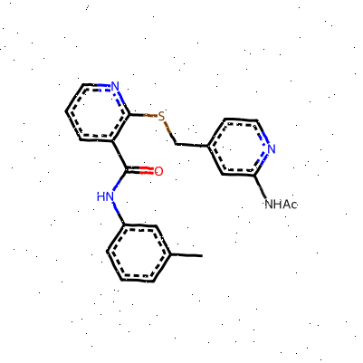 CC(=O)Nc1cc(CSc2ncccc2C(=O)Nc2cccc(C)c2)ccn1